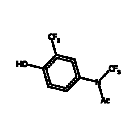 CC(=O)N(c1ccc(O)c(C(F)(F)F)c1)C(F)(F)F